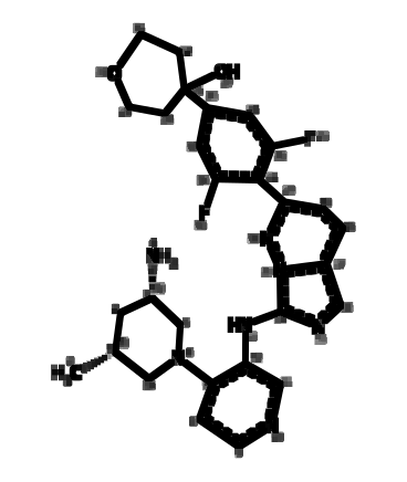 C[C@@H]1C[C@H](N)CN(c2ccncc2Nc2ncc3ccc(-c4c(F)cc(C5(O)CCOCC5)cc4F)nn23)C1